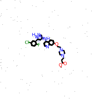 COC(=O)CCN1CCN(CCOc2ccc3c(NC(/C=C(\N)c4cc(Cl)ccc4F)=C/N)ccnc3c2)CC1